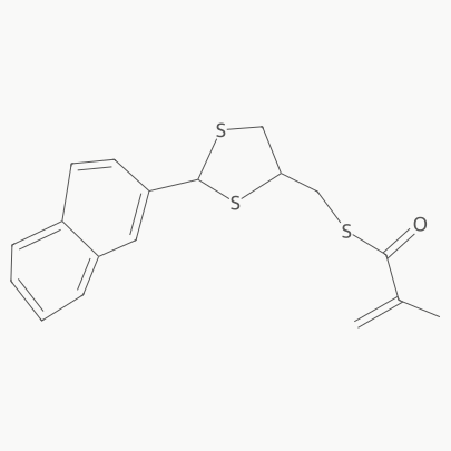 C=C(C)C(=O)SCC1CSC(c2ccc3ccccc3c2)S1